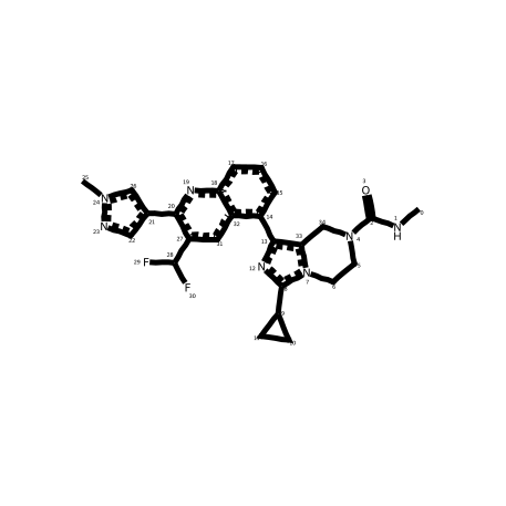 CNC(=O)N1CCn2c(C3CC3)nc(-c3cccc4nc(-c5cnn(C)c5)c(C(F)F)cc34)c2C1